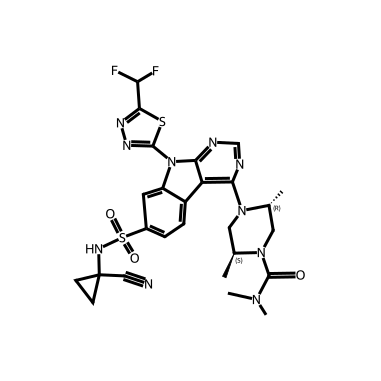 C[C@@H]1CN(C(=O)N(C)C)[C@@H](C)CN1c1ncnc2c1c1ccc(S(=O)(=O)NC3(C#N)CC3)cc1n2-c1nnc(C(F)F)s1